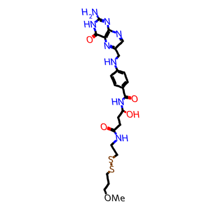 COCCCSSCCNC(=O)CCC(O)NC(=O)c1ccc(NCc2cnc3nc(N)[nH]c(=O)c3n2)cc1